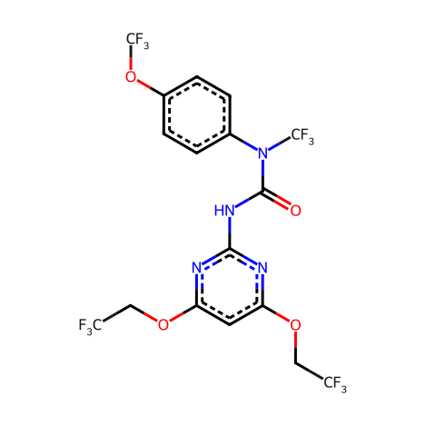 O=C(Nc1nc(OCC(F)(F)F)cc(OCC(F)(F)F)n1)N(c1ccc(OC(F)(F)F)cc1)C(F)(F)F